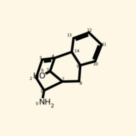 NC1CC=C2C(O)C1CC1C=CC=CC21